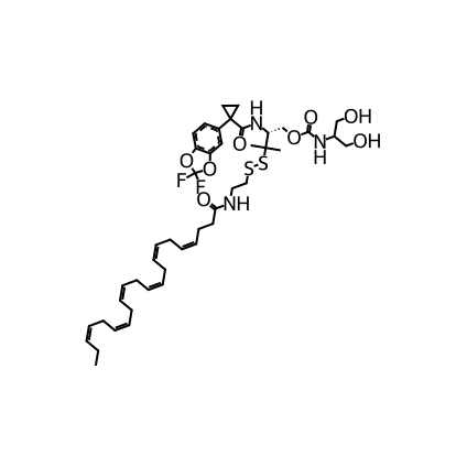 CC/C=C\C/C=C\C/C=C\C/C=C\C/C=C\C/C=C\CCC(=O)NCCSSC(C)(C)[C@@H](COC(=O)NC(CO)CO)NC(=O)C1(c2ccc3c(c2)OC(F)(F)O3)CC1